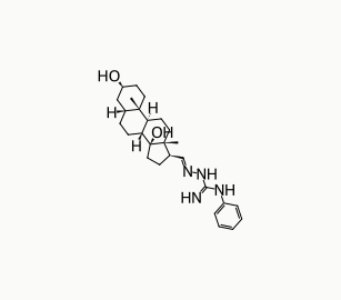 C[C@]12CC[C@H](O)C[C@H]1CC[C@@H]1[C@@H]2CC[C@]2(C)[C@@H](/C=N/NC(=N)Nc3ccccc3)CC[C@]12O